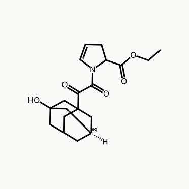 CCOC(=O)C1CC=CN1C(=O)C(=O)C12CC3C[C@@H](CC(O)(C3)C1)C2